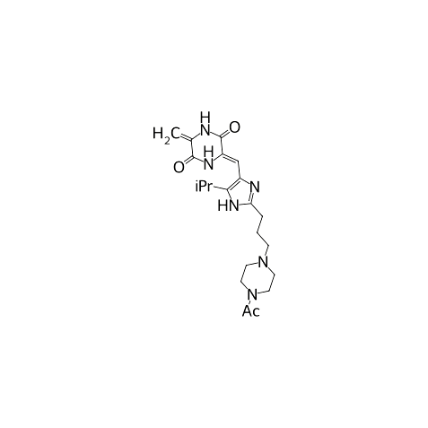 C=c1[nH]c(=O)c(=Cc2nc(CCCN3CCN(C(C)=O)CC3)[nH]c2C(C)C)[nH]c1=O